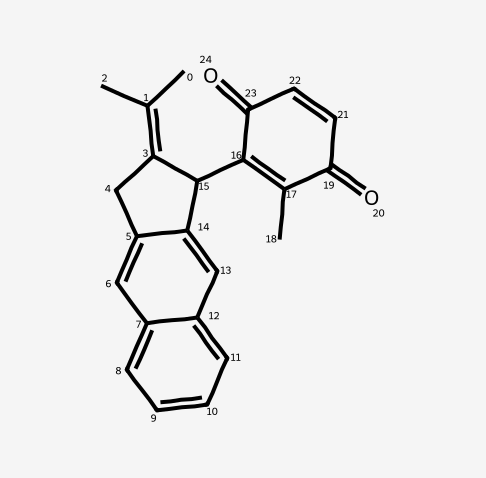 CC(C)=C1Cc2cc3ccccc3cc2C1C1=C(C)C(=O)C=CC1=O